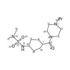 CC(C)N1CCN(C(=O)C2CCC(NS(=O)(=O)N(C)C)CC2)CC1